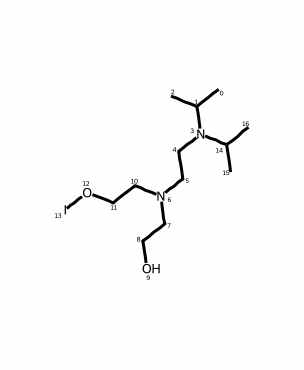 CC(C)N(CCN(CCO)CCOI)C(C)C